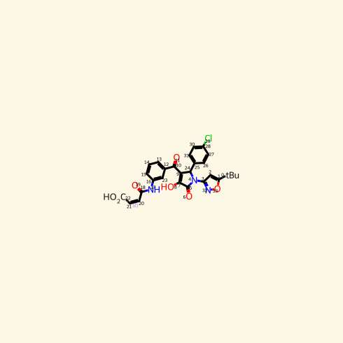 CC(C)(C)c1cc(N2C(=O)C(O)=C(C(=O)c3cccc(NC(=O)/C=C\C(=O)O)c3)C2c2ccc(Cl)cc2)no1